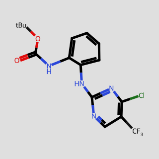 CC(C)(C)OC(=O)Nc1ccccc1Nc1ncc(C(F)(F)F)c(Cl)n1